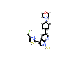 FCc1csc(-c2cn(S)c3ncc(C4=CCC(N5CCOCC5)CC4)cc23)n1